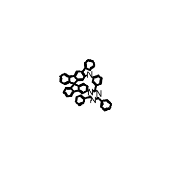 c1ccc(-c2nc(-c3ccccc3)nc(-c3cccc(-n4c5ccccc5c5cc6c(cc54)C4(c5ccccc5-c5ccccc54)c4ccccc4-6)c3)n2)cc1